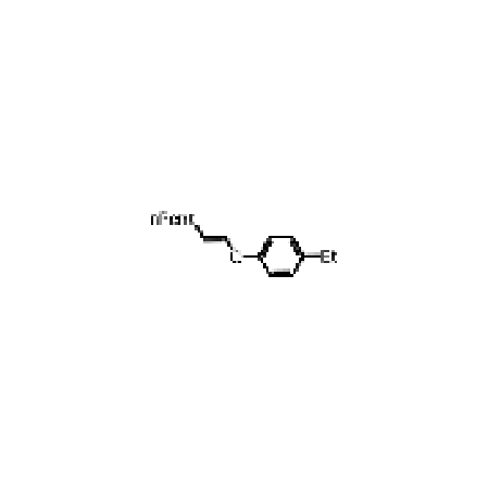 [CH2]Cc1ccc(OC=CCCCCC)cc1